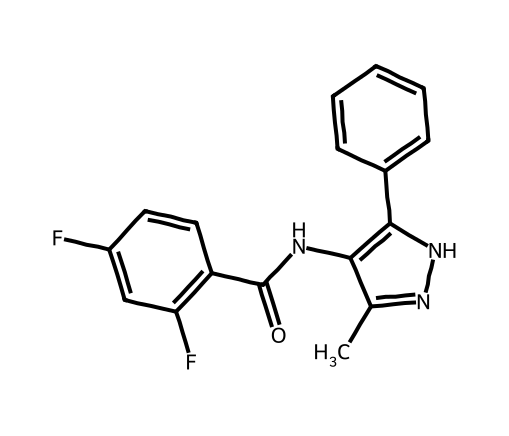 Cc1n[nH]c(-c2ccccc2)c1NC(=O)c1ccc(F)cc1F